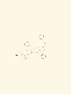 C#CC[C@H](N)C(=O)N[C@@H](CO)C(=O)N[C@@H](Cc1ccc(O)cc1)C(=O)N[C@@H](Cc1ccc(O)cc1)C(=O)N[C@@H](CO)C(=O)N[C@@H](Cc1ccc(O)cc1)C(=O)O